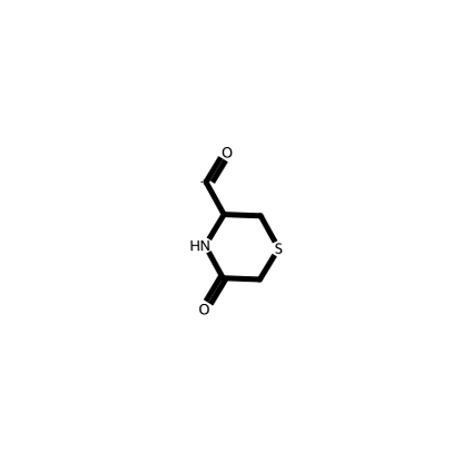 O=[C]C1CSCC(=O)N1